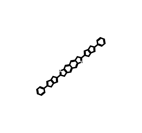 C1=C(C2=Nc3cc4cc5c(cc4cc3C2)N=C(C2=CC3=C(C=C(c4ccccc4)C3)C2)C5)CC2=C1CC(c1ccccc1)=C2